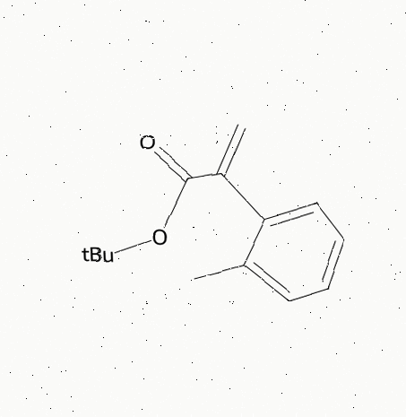 C=C(C(=O)OC(C)(C)C)c1ccccc1C